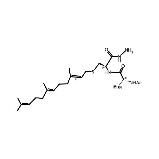 CC[C@@H](C)[C@@H](NC(C)=O)C(=O)N[C@@H](CSC/C=C(\C)CC/C=C(\C)CCC=C(C)C)C(=O)NN